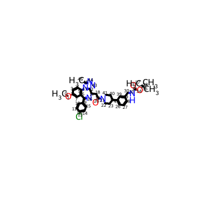 COc1ccc2c(c1)C(c1ccc(Cl)cc1)=NC(CC(=O)N1CCC(c3cccc(CNC(=O)OC(C)(C)C)c3)CC1)c1nnc(C)n1-2